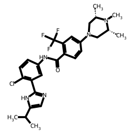 CC(C)c1cnc(-c2cc(NC(=O)c3ccc(N4C[C@@H](C)N(C)[C@@H](C)C4)cc3C(F)(F)F)ccc2Cl)[nH]1